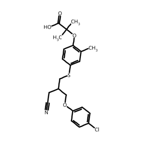 Cc1cc(SCC(CC#N)COc2ccc(Cl)cc2)ccc1OC(C)(C)C(=O)O